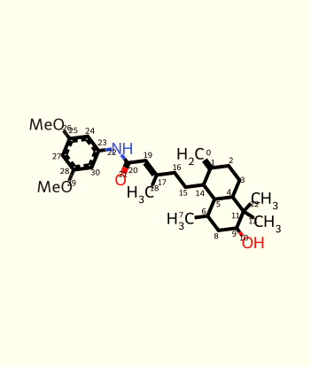 C=C1CCC2C(C(C)CC(O)C2(C)C)C1CC/C(C)=C/C(=O)Nc1cc(OC)cc(OC)c1